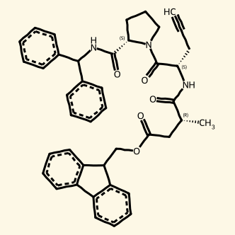 C#CC[C@H](NC(=O)[C@H](C)CC(=O)OCC1c2ccccc2-c2ccccc21)C(=O)N1CCC[C@H]1C(=O)NC(c1ccccc1)c1ccccc1